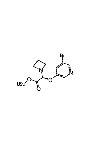 CC(C)(C)OC(=O)[C@H](Oc1cncc(Br)c1)N1CCC1